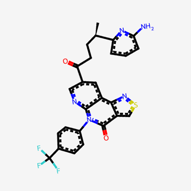 C[C@H](CCC(=O)c1cnc2c(c1)c1nscc1c(=O)n2-c1ccc(C(F)(F)F)cc1)c1cccc(N)n1